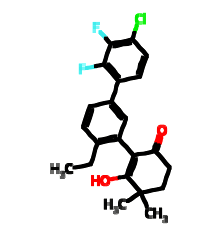 CCc1ccc(-c2ccc(Cl)c(F)c2F)cc1C1=C(O)C(C)(C)CCC1=O